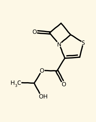 CC(O)OC(=O)C1=CSC2CC(=O)N12